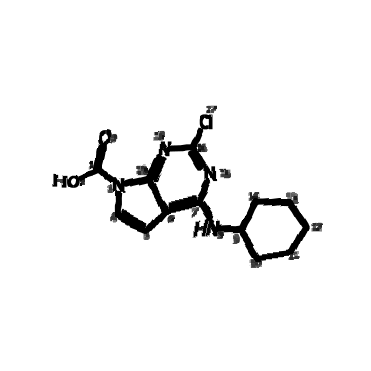 O=C(O)n1ccc2c(NC3CCCCC3)nc(Cl)nc21